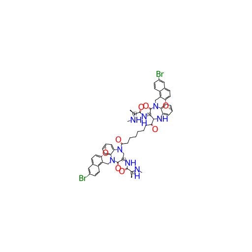 CN[C@@H](C)C(=O)N[C@H]1CN(C(=O)CCCCCCC(=O)C2Nc3ccccc3N(Cc3c(OC)ccc4cc(Br)ccc34)C(=O)[C@H]2NC(=O)[C@H](C)NC)c2ccccc2N(Cc2c(OC)ccc3cc(Br)ccc23)C1=O